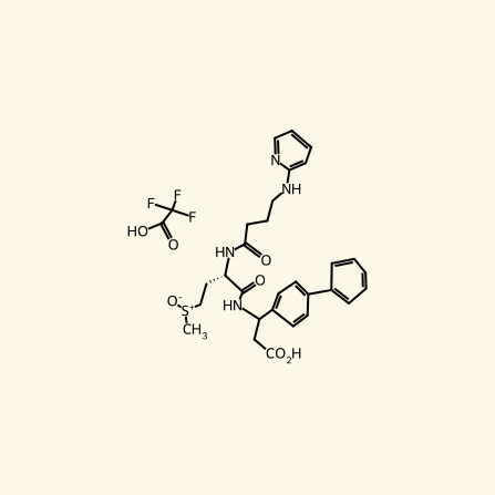 C[S+]([O-])CC[C@H](NC(=O)CCCNc1ccccn1)C(=O)NC(CC(=O)O)c1ccc(-c2ccccc2)cc1.O=C(O)C(F)(F)F